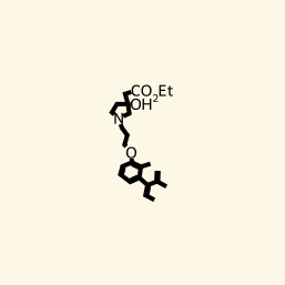 C=C(C)/C(=C\C)c1cccc(OCCCN2CCC(O)(CC(=O)OCC)C2)c1C